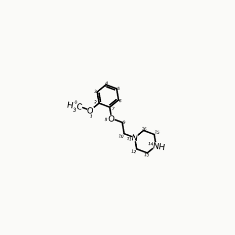 COc1c[c]ccc1OCCN1CCNCC1